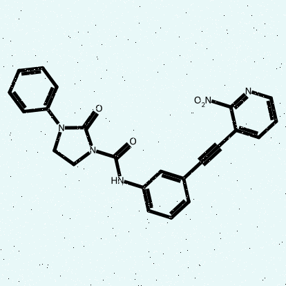 O=C(Nc1cccc(C#Cc2cccnc2[N+](=O)[O-])c1)N1CCN(c2ccccc2)C1=O